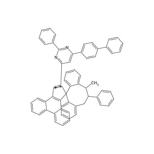 CC1c2ccccc2C2(c3ccccc3CC1c1ccccc1)c1cc(-c3cc(-c4ccc(-c5ccccc5)cc4)nc(-c4ccccc4)n3)ccc1-c1c2c2ccccc2c2ccccc12